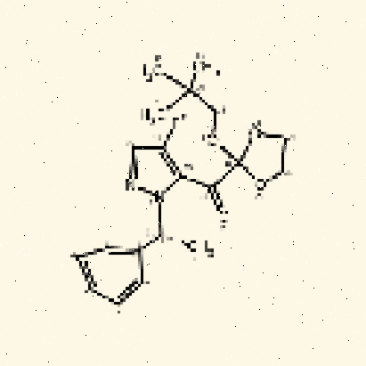 C[C@H](c1ccccc1)n1ncc(F)c1C(=O)C1(OCC(C)(C)C)OCCO1